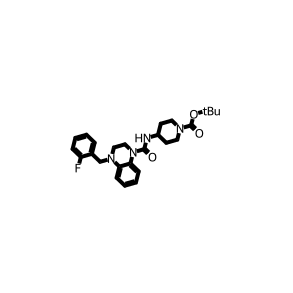 CC(C)(C)OC(=O)N1CCC(NC(=O)N2CCN(Cc3ccccc3F)c3ccccc32)CC1